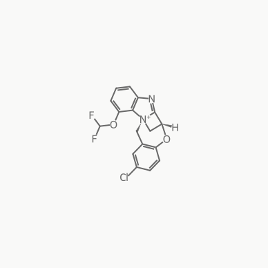 FC(F)Oc1cccc2c1[N@@+]13Cc4cc(Cl)ccc4O[C@H](C1)C3=N2